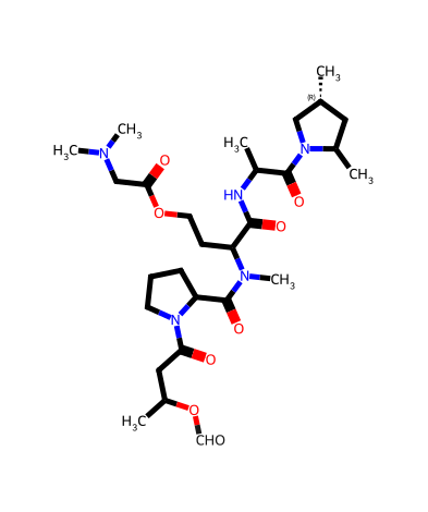 CC(CC(=O)N1CCCC1C(=O)N(C)C(CCOC(=O)CN(C)C)C(=O)NC(C)C(=O)N1C[C@H](C)CC1C)OC=O